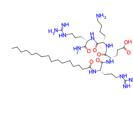 CCCCCCCCCCCCCCCC(=O)N[C@@H](CCCNC(=N)N)C(=O)N[C@@H](CCC(=O)O)C(=O)N[C@@H](CCCCN)C(=O)N[C@@H](CCCNC(=N)N)C(=O)NC